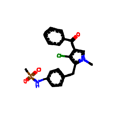 Cn1cc(C(=O)c2ccccc2)c(Cl)c1Cc1ccc(NS(C)(=O)=O)cc1